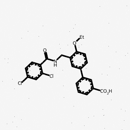 CCOc1ccc(-c2cccc(C(=O)O)c2)cc1CNC(=O)c1ccc(Cl)cc1Cl